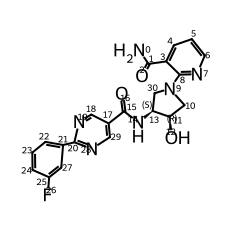 NC(=O)c1cccnc1N1C[C@@H](O)[C@@H](NC(=O)c2cnc(-c3cccc(F)c3)nc2)C1